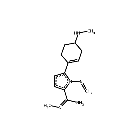 C=Nn1c(C2=CCC(NC)CC2)ccc1/C(N)=N\C